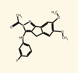 COc1cc2c(cc1OC)-c1nn(C(C)=O)c(Nc3cccc(F)c3)c1C2